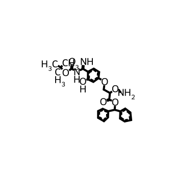 CC(C)(C)OC(=O)NC(=N)c1ccc(OCC(ON)C(=O)OC(c2ccccc2)c2ccccc2)cc1O